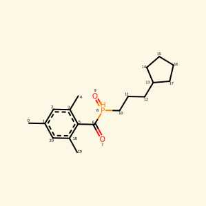 Cc1cc(C)c(C(=O)[PH](=O)CCCC2CCCC2)c(C)c1